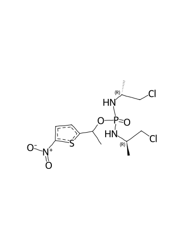 CC(OP(=O)(N[C@H](C)CCl)N[C@H](C)CCl)c1ccc([N+](=O)[O-])s1